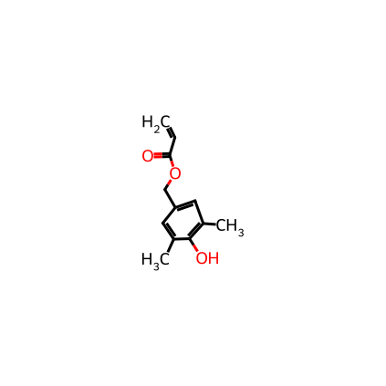 C=CC(=O)OCc1cc(C)c(O)c(C)c1